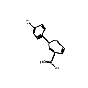 OB(O)C1=CC(c2ccc(Cl)cc2)CC=C1